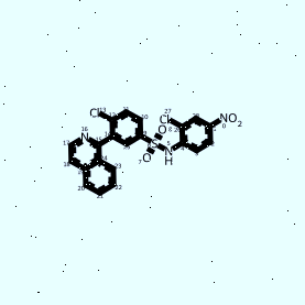 O=[N+]([O-])c1ccc(NS(=O)(=O)c2ccc(Cl)c(-c3nccc4ccccc34)c2)c(Cl)c1